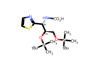 CC(C)(C)[Si](C)(C)OC[C@@H](O[Si](C)(C)C(C)(C)C)[C@@H](NC(=O)O)c1nccs1